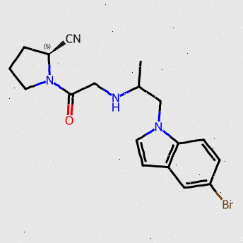 CC(Cn1ccc2cc(Br)ccc21)NCC(=O)N1CCC[C@H]1C#N